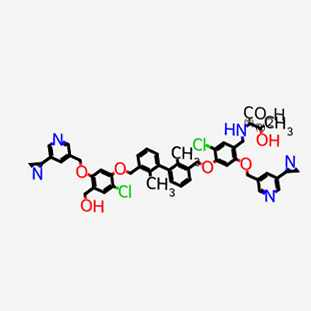 Cc1c(COc2cc(OCc3cncc(C4=NC4)c3)c(CO)cc2Cl)cccc1-c1cccc(COc2cc(OCc3cncc(C4=NC4)c3)c(CN[C@H](C(=O)O)[C@@H](C)O)cc2Cl)c1C